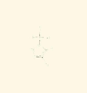 [2H]C([2H])([2H])c1noc(N)c1Cl